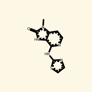 Cn1c(=O)[nH]c2c(Nc3nccs3)nccc21